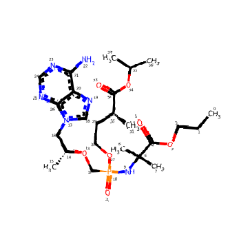 CCCOC(=O)C(C)(C)N[P@@](=O)(CO[C@H](C)Cn1cnc2c(N)ncnc21)OCC[C@H](C)C(=O)OC(C)C